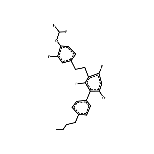 CCCCc1ccc(-c2c([O])cc(F)c(CCc3ccc(OC(F)F)c(F)c3)c2F)cc1